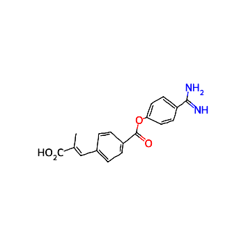 CC(=Cc1ccc(C(=O)Oc2ccc(C(=N)N)cc2)cc1)C(=O)O